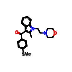 CSc1ccc(C(=O)c2c(C)n(CCN3CCOCC3)c3ccccc23)cc1